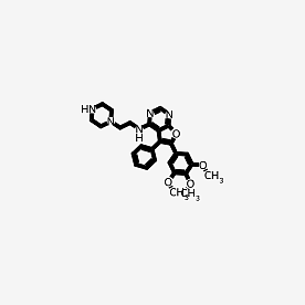 COc1cc(-c2oc3ncnc(NCCN4CCNCC4)c3c2-c2ccccc2)cc(OC)c1OC